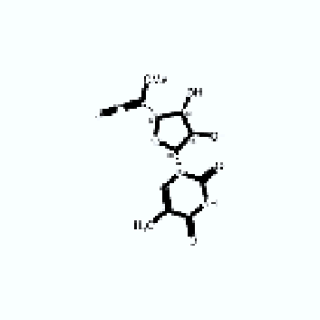 COC(=C=O)[C@H]1O[C@@H](n2cc(C)c(=O)[nH]c2=O)[C@H](O)[C@@H]1O